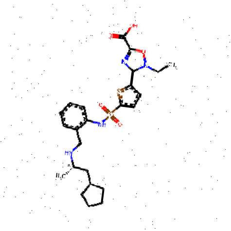 CCN1OC(C(=O)O)=NC1c1ccc(S(=O)(=O)Nc2ccccc2CN[C@@H](C)CC2CCCC2)s1